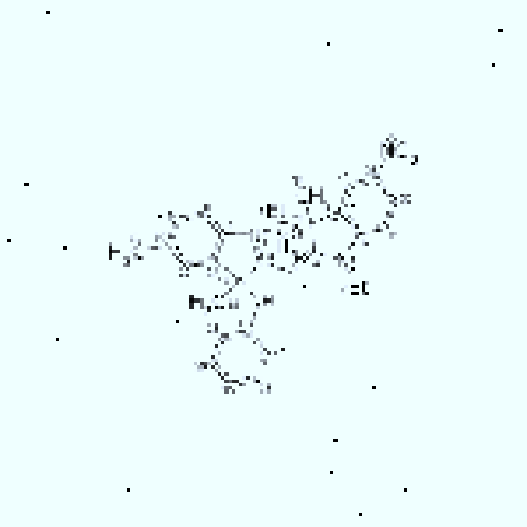 CCN1C(=CC2=[N+](CC)c3ccc(C)cc3C2(C)Cc2ccccc2)C(C)(C)c2cc([N+](=O)[O-])ccc21